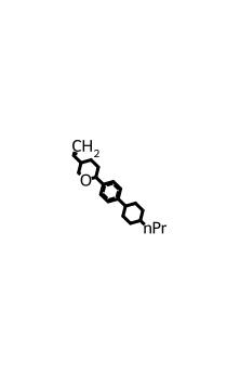 C=CC1CCC(c2ccc(C3CCC(CCC)CC3)cc2)OC1